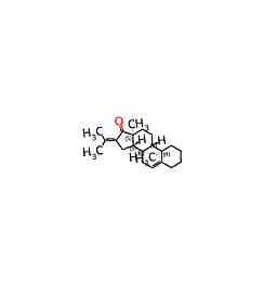 CC(C)=C1C[C@H]2[C@@H]3CC=C4CCCC[C@]4(C)[C@H]3CC[C@]2(C)C1=O